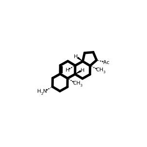 CC(=O)[C@H]1CC[C@H]2[C@@H]3CC=C4C[C@@H](N)CC[C@]4(C)[C@H]3CC[C@]12C